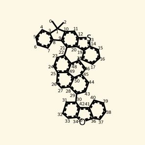 CC1(C)c2ccccc2-c2c1cc1sc3ccccc3c1c2-c1ccc2ccc3c(-c4cccc5oc6ccccc6c45)ccc4ccc1c2c43